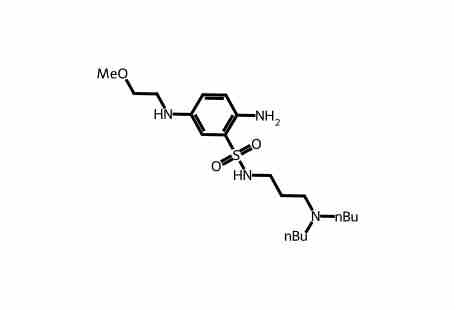 CCCCN(CCCC)CCCNS(=O)(=O)c1cc(NCCOC)ccc1N